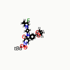 CC(C)(C)OC(=O)N1CCC2(CC1)C(=O)N([C@H]1C[C@@H](N3CC(F)C4(CC4)C3)C1)c1cc(B3OC(C)(C)C(C)(C)O3)ccc12